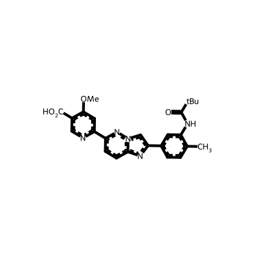 COc1cc(-c2ccc3nc(-c4ccc(C)c(NC(=O)C(C)(C)C)c4)cn3n2)ncc1C(=O)O